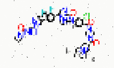 Cc1nn(CCNC(=O)N2CCCC2)cc1-c1ccc(-c2cnc(C(=O)Nc3ccc(C(=O)N4CCN(C(=O)C5CC[N+](C)(C)CC5)CC4)c(Cl)c3)n2C)c(F)c1F